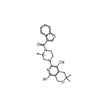 CC(C)c1nc(N2CCN(C(=O)c3csc4ccccc34)[C@H](C)C2)c(C#N)c2c1COC(C)(C)C2